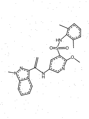 C=C(Nc1cnc(OC)c(S(=O)(=O)Nc2c(C)cccc2C)c1)c1nn(C)c2ccccc12